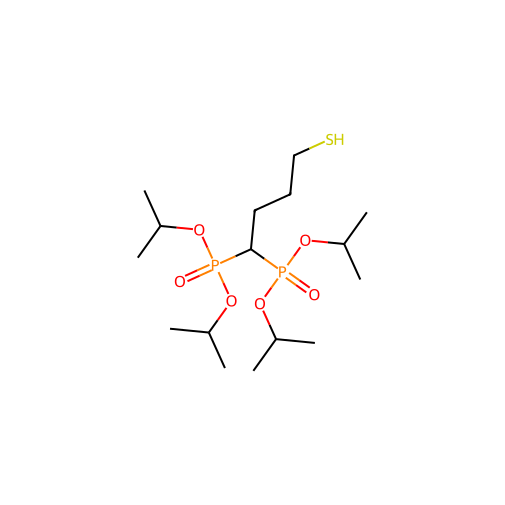 CC(C)OP(=O)(OC(C)C)C(CCCS)P(=O)(OC(C)C)OC(C)C